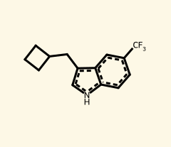 FC(F)(F)c1ccc2[nH]cc(CC3CCC3)c2c1